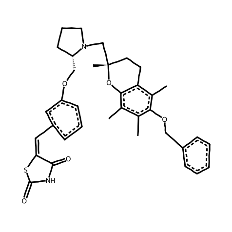 Cc1c(C)c2c(c(C)c1OCc1ccccc1)CC[C@@](C)(CN1CCC[C@H]1COc1cccc(C=C3SC(=O)NC3=O)c1)O2